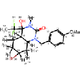 [2H]N1C(=O)N(Cc2ccc(OC)cc2)C2([2H])C([2H])([2H])C([2H])(Br)C([2H])([2H])C([2H])([2H])C2([2H])C1(O)C(C)(F)F